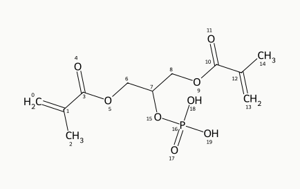 C=C(C)C(=O)OCC(COC(=O)C(=C)C)OP(=O)(O)O